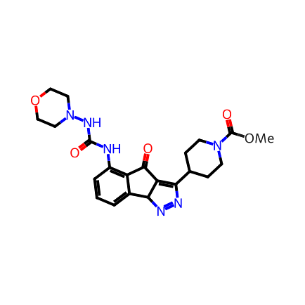 COC(=O)N1CCC(C2=C3C(=O)c4c(NC(=O)NN5CCOCC5)cccc4C3N=N2)CC1